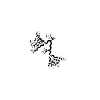 CNC(CCCC(CCN(CCC[Si](OC)(OC)OC)CCC[Si](OC)(OC)OC)NC)CCN(CCC[Si](OC)(OC)OC)CCC[Si](OC)(OC)OC